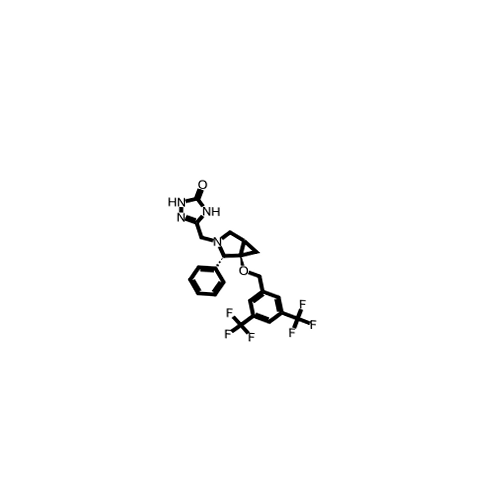 O=c1[nH]nc(CN2CC3C[C@]3(OCc3cc(C(F)(F)F)cc(C(F)(F)F)c3)[C@@H]2c2ccccc2)[nH]1